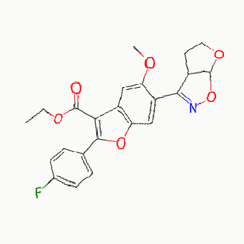 CCOC(=O)c1c(-c2ccc(F)cc2)oc2cc(C3=NOC4OCCC34)c(OC)cc12